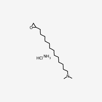 CN(C)CCCCCCCCCCCCCC1CO1.Cl.N